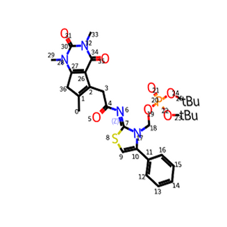 CC1=C(CC(=O)/N=c2\scc(-c3ccccc3)n2COP(=O)(OC(C)(C)C)OC(C)(C)C)c2c(n(C)c(=O)n(C)c2=O)C1